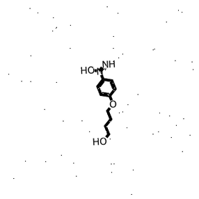 N=[N+](O)c1ccc(OCCCCO)cc1